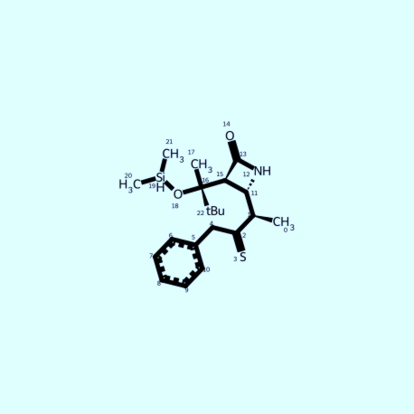 C[C@@H](C(=S)Cc1ccccc1)[C@H]1NC(=O)[C@@H]1[C@@](C)(O[SiH](C)C)C(C)(C)C